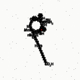 CCCC[C@H](NC(=O)COCCOCCNC(=O)CCCCCCCCCCCCCCC(=O)O)C(=O)N[C@H]1CCC(OC)CNCCCC[C@@H](C(N)=O)NC(=O)[C@H](Cc2c[nH]c3ccccc23)NC(=O)[C@H](CCCNC(=N)N)NC(=O)[C@@H](Cc2ccccc2)NC(=O)[C@@H]2C[C@@H](O)CN2C1=O